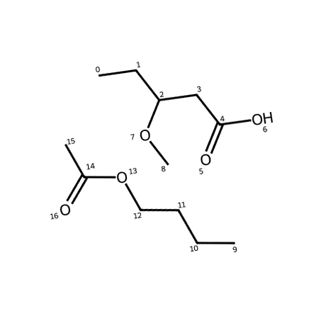 CCC(CC(=O)O)OC.CCCCOC(C)=O